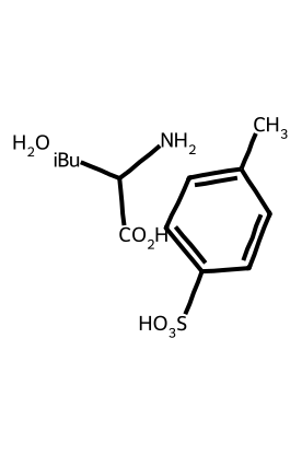 CCC(C)C(N)C(=O)O.Cc1ccc(S(=O)(=O)O)cc1.O